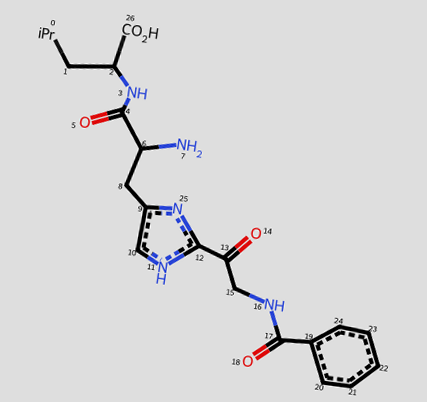 CC(C)CC(NC(=O)C(N)Cc1c[nH]c(C(=O)CNC(=O)c2ccccc2)n1)C(=O)O